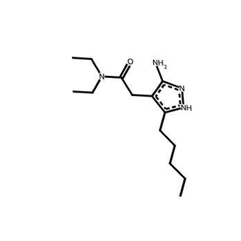 CCCCCc1[nH]nc(N)c1CC(=O)N(CC)CC